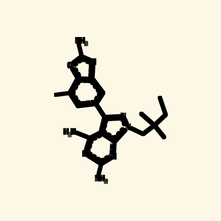 CCC(C)(C)Cn1nc(-c2cc(C)c3oc(N)nc3c2)c2c(N)nc(N)nc21